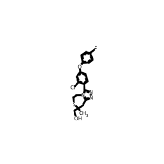 CC1(CO)Cc2nnc(-c3ccc(Oc4ccc(F)cc4)cc3Cl)n2CCS1